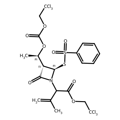 C=C(C)C(C(=O)OCC(Cl)(Cl)Cl)N1C(=O)[C@H]([C@@H](C)OC(=O)OCC(Cl)(Cl)Cl)[C@H]1SS(=O)(=O)c1ccccc1